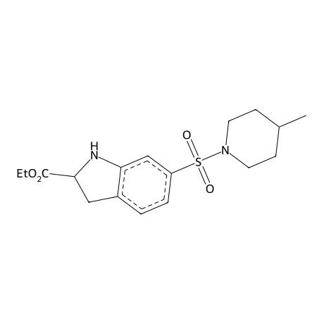 CCOC(=O)C1Cc2ccc(S(=O)(=O)N3CCC(C)CC3)cc2N1